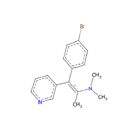 C/C(=C(/c1ccc(Br)cc1)c1cccnc1)N(C)C